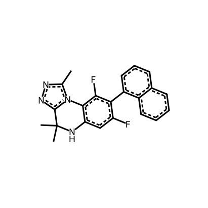 Cc1nnc2n1-c1c(cc(F)c(-c3cccc4ccccc34)c1F)NC2(C)C